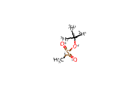 [2H]C([2H])([2H])OS(C)(=O)=O